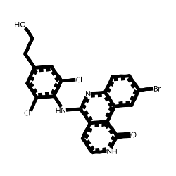 O=c1[nH]ccc2c(Nc3c(Cl)cc(CCO)cc3Cl)nc3ccc(Br)cc3c12